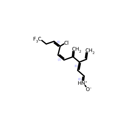 C=C/C(=C\C=[NH+]\[O-])C(=C)/C=C\C(Cl)=C/CC(F)(F)F